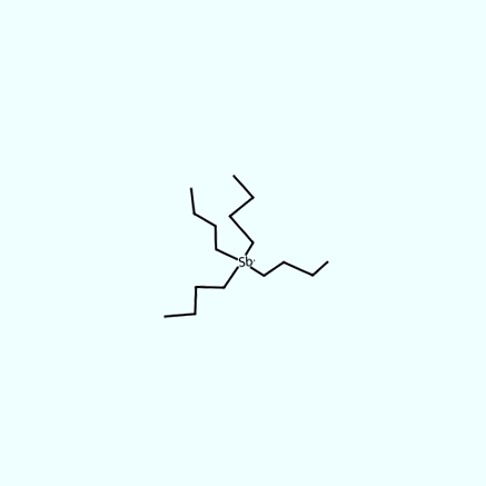 CCC[CH2][Sb]([CH2]CCC)([CH2]CCC)[CH2]CCC